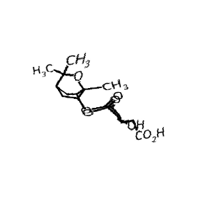 CC1(C)OC2(C)C(OC(=O)CO)CC1CC2OC(=O)CCC(=O)O